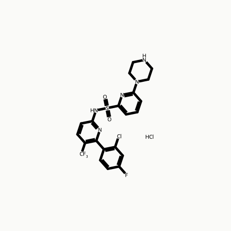 Cl.O=S(=O)(Nc1ccc(C(F)(F)F)c(-c2ccc(F)cc2Cl)n1)c1cccc(N2CCNCC2)n1